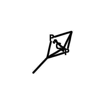 CC12CC3P14=C=P324